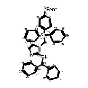 CCCCCc1ccc([Si](Cn2ccnc2BC(c2ccccc2)c2ccccc2)(c2ccccc2)c2ccccc2)cc1